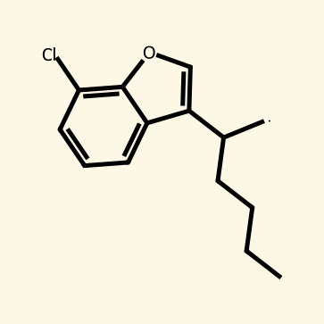 [CH2]C(CCCC)c1coc2c(Cl)cccc12